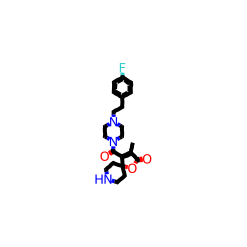 CC1=C(C(=O)N2CCN(CCc3ccc(F)cc3)CC2)C2(CCNCC2)OC1=O